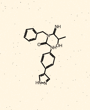 CC(O)C(=N)N(Cc1ccccc1)C(=O)Nc1ccc(-c2cn[nH]c2)cc1